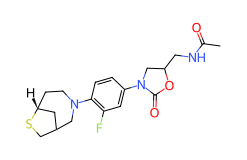 CC(=O)NCC1CN(c2ccc(N3CC[C@@H]4CC(CS4)C3)c(F)c2)C(=O)O1